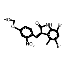 Cc1c(Br)cc(Br)c2c1C(=Cc1ccc(OCO)cc1[N+](=O)[O-])C(=O)N2